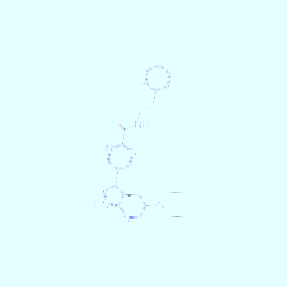 O=C(NCCc1ccccc1Cl)c1ncc(-c2c[nH]c3ncc(N4CCOCC4)cc23)cn1